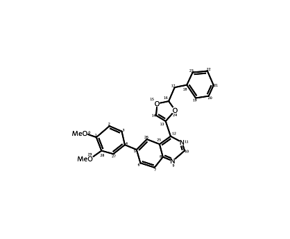 COc1ccc(-c2ccc3ncnc(C4=COC(Cc5ccccc5)O4)c3c2)cc1OC